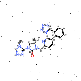 CCCCc1cn(-c2nncn2C(C)C)c(=O)n1Cc1ccc(-c2ccccc2-c2nnn[nH]2)cn1